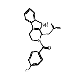 CC(C)CC1c2[nH]c3ccccc3c2CCN1C(=O)c1ccc(Cl)cc1